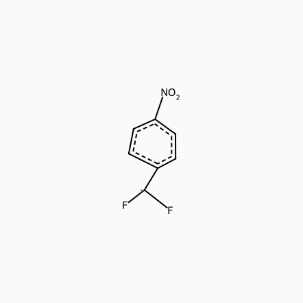 O=[N+]([O-])c1ccc([C](F)F)cc1